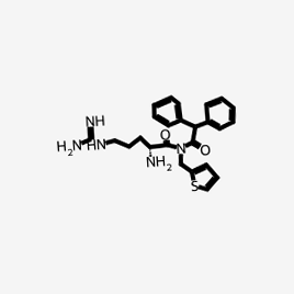 N=C(N)NCCC[C@@H](N)C(=O)N(Cc1cccs1)C(=O)C(c1ccccc1)c1ccccc1